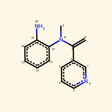 C=C(c1cccnc1)N(C)c1ccccc1N